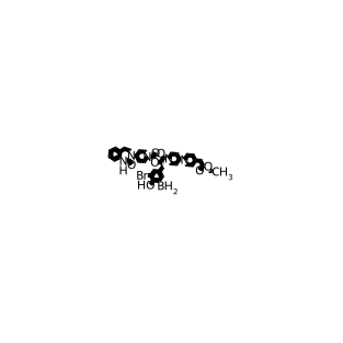 Bc1cc(C[C@@H](OC(=O)N2CCC(N3CCc4ccccc4NC3=O)CC2)C(=O)N2CCC(N3CCC(CC(=O)OCC)CC3)CC2)cc(Br)c1O